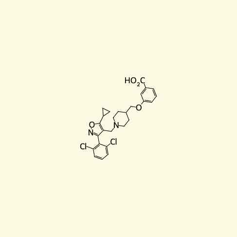 O=C(O)c1cccc(OCC2CCN(Cc3c(-c4c(Cl)cccc4Cl)noc3C3CC3)CC2)c1